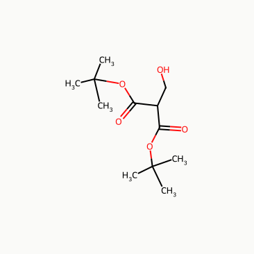 CC(C)(C)OC(=O)C(CO)C(=O)OC(C)(C)C